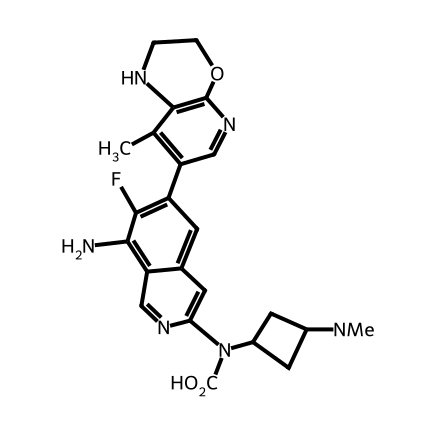 CNC1CC(N(C(=O)O)c2cc3cc(-c4cnc5c(c4C)NCCO5)c(F)c(N)c3cn2)C1